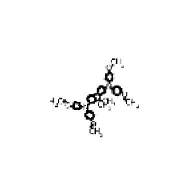 C=COc1ccc(N(c2ccc(OC=C)cc2)c2ccc3c(c2)C(C)(C)c2cc(N(c4ccc(OC=C)cc4)c4ccc(OC=C)cc4)ccc2-3)cc1